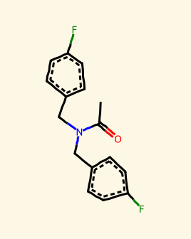 CC(=O)N(Cc1ccc(F)cc1)Cc1ccc(F)cc1